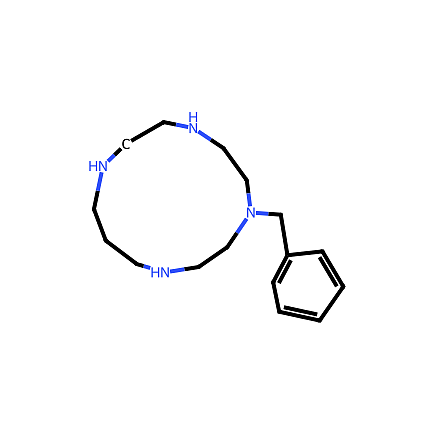 c1ccc(CN2CCNCCCNCCNCC2)cc1